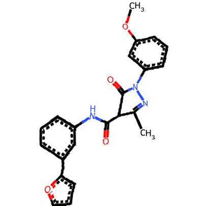 COc1cccc(N2N=C(C)C(C(=O)Nc3cccc(-c4ccco4)c3)C2=O)c1